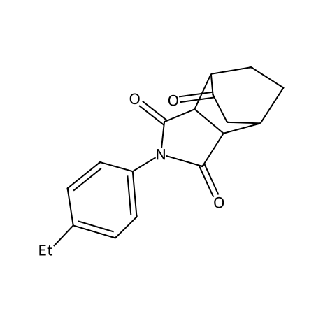 CCc1ccc(N2C(=O)C3C4CCC(C(=O)C4)C3C2=O)cc1